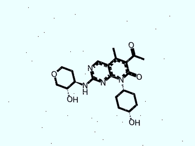 CC(=O)c1c(C)c2cnc(N[C@@H]3CCOC[C@H]3O)nc2n([C@H]2CC[C@@H](O)CC2)c1=O